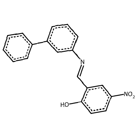 O=[N+]([O-])c1ccc(O)c(/C=N/c2cccc(-c3ccccc3)c2)c1